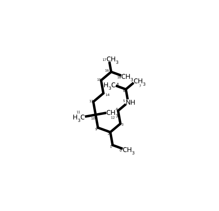 CCC(CCNC(C)C)CC(C)(C)CCCC(C)C